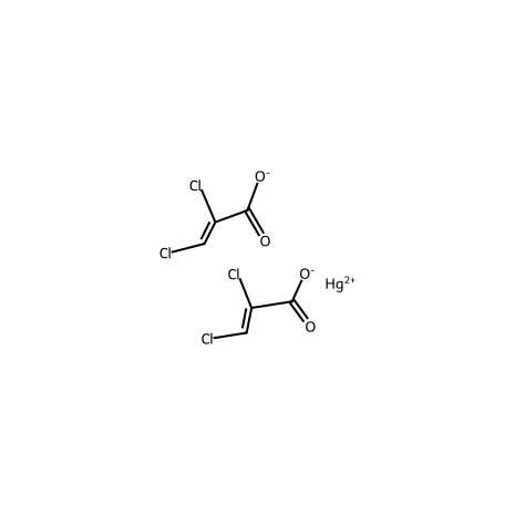 O=C([O-])/C(Cl)=C/Cl.O=C([O-])/C(Cl)=C/Cl.[Hg+2]